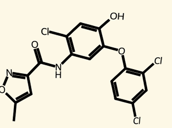 Cc1cc(C(=O)Nc2cc(Oc3ccc(Cl)cc3Cl)c(O)cc2Cl)no1